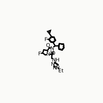 CCn1cc(NCC(=O)N2CC(F)CC2C(=O)NC(c2ccccc2)c2ccc(C3CC3)c(F)c2)nn1